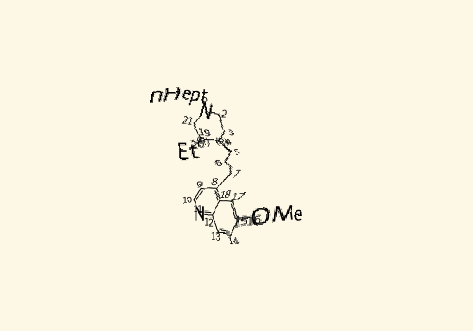 CCCCCCCN1CC[C@@H](CCCc2ccnc3ccc(OC)cc23)[C@@H](CC)C1